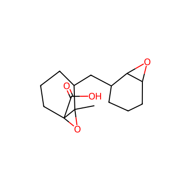 CC12OC1(C(=O)O)CCCC2CC1CCCC2OC12